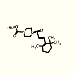 CC1=C(/C=C/C(=O)N2CCN(C(=O)OC(C)(C)C)CC2)C(C)(C)CCC1